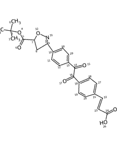 CC(C)(C)OC(=O)C1CC(c2ccc(C(=O)C(=O)c3ccc(C=CC(=O)O)cc3)cc2)=NO1